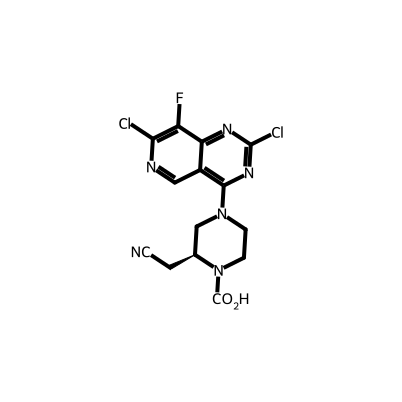 N#CC[C@H]1CN(c2nc(Cl)nc3c(F)c(Cl)ncc23)CCN1C(=O)O